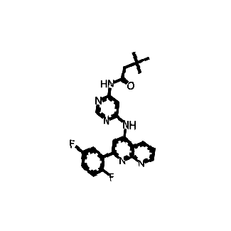 CC(C)(C)CC(=O)Nc1cc(Nc2cc(-c3cc(F)ccc3F)nc3ncccc23)ncn1